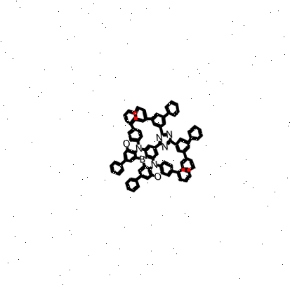 c1ccc(-c2cc(-c3ccccc3)cc(-c3nc(-c4cc(-c5ccccc5)cc(-c5ccccc5)c4)nc(-c4cc5c6c(c4)N4c7ccc(-c8ccccc8)cc7Oc7cc(-c8ccccc8)cc(c74)B6c4cc(-c6ccccc6)cc6c4N5c4ccc(-c5ccccc5)cc4O6)n3)c2)cc1